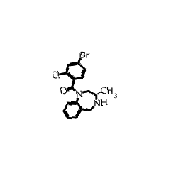 C[C@@H]1CN(C(=O)c2ccc(Br)cc2Cl)c2ccccc2CN1